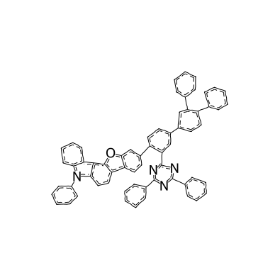 c1ccc(-c2nc(-c3ccccc3)nc(-c3cc(-c4ccc(-c5ccccc5)c(-c5ccccc5)c4)ccc3-c3ccc4c(c3)oc3c4ccc4c3c3ccccc3n4-c3ccccc3)n2)cc1